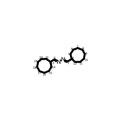 C(=NN=CC1CCCCCCCC1)C1CCCCCCCC1